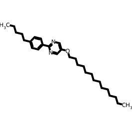 CCCCCCCCCCCCCCOc1cnc(-c2ccc(CCCCC)cc2)nc1